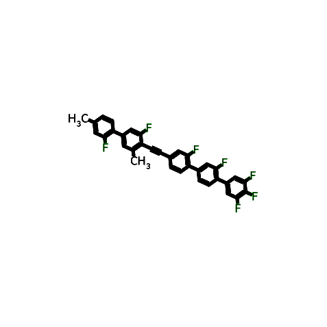 Cc1ccc(-c2cc(C)c(C#Cc3ccc(-c4ccc(-c5cc(F)c(F)c(F)c5)c(F)c4)c(F)c3)c(F)c2)c(F)c1